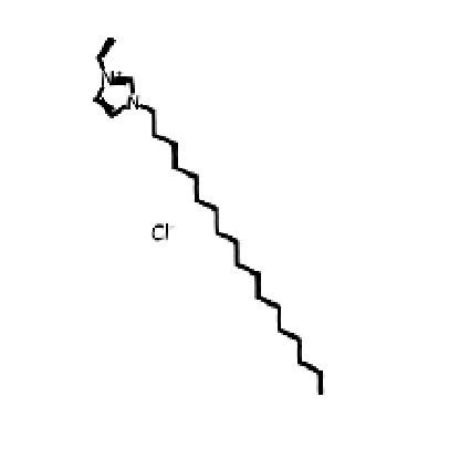 C=C[n+]1ccn(CCCCCCCCCCCCCCCCCC)c1.[Cl-]